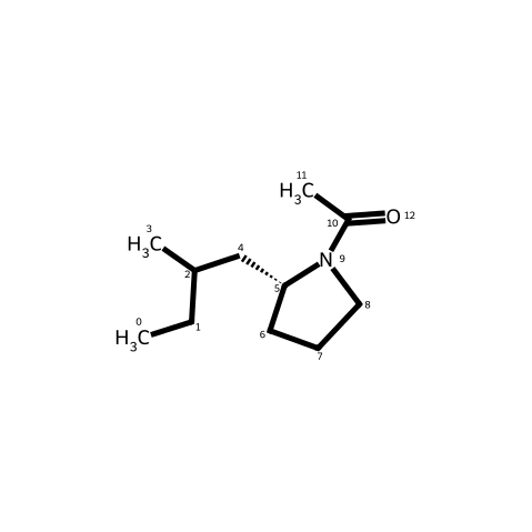 CCC(C)C[C@H]1CCCN1C(C)=O